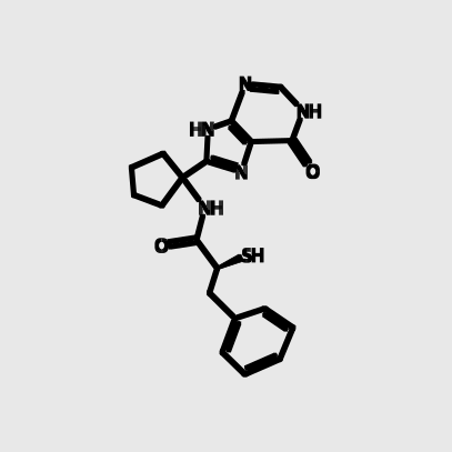 O=C(NC1(c2nc3c(=O)[nH]cnc3[nH]2)CCCC1)[C@@H](S)Cc1ccccc1